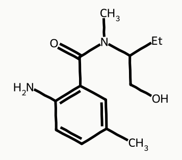 CCC(CO)N(C)C(=O)c1cc(C)ccc1N